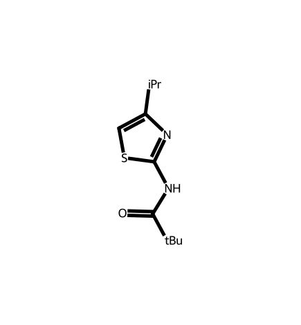 CC(C)c1csc(NC(=O)C(C)(C)C)n1